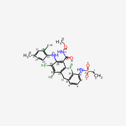 CCS(=O)(=O)Nc1cccc(Cc2cc(C(=O)NOC)c(Nc3ccc(C)cc3F)c(F)c2F)c1F